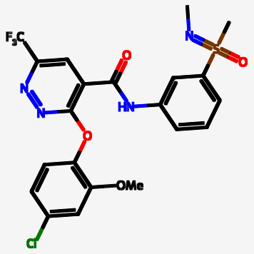 CN=S(C)(=O)c1cccc(NC(=O)c2cc(C(F)(F)F)nnc2Oc2ccc(Cl)cc2OC)c1